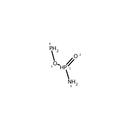 N[PH](=O)OP